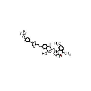 Cc1ccc(C(C)C)c(N2C(=O)CS/C2=N\C(=O)Nc2ccc(CCc3ncn(-c4ccc(OC(F)(F)F)cc4)n3)cc2C(=O)O)c1